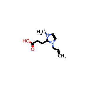 C=CCN1C=CN(C)C1CCC(=O)O